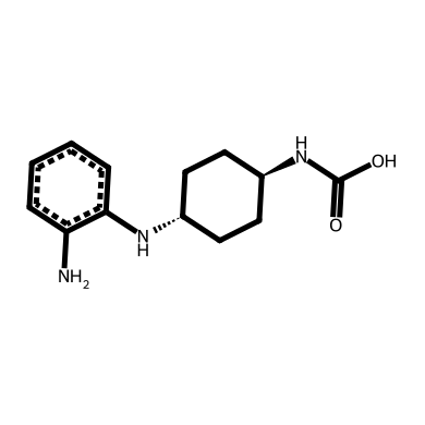 Nc1ccccc1N[C@H]1CC[C@H](NC(=O)O)CC1